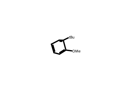 [CH2]Oc1ccccc1C(C)(C)C